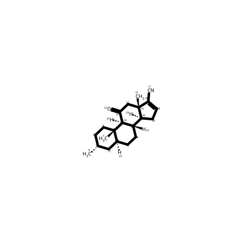 C[C@@H]1CC[C@@]2(C)[C@@H](CC[C@@H]3[C@@H]2C(=O)C[C@]2(C)C(C#N)=CC[C@@H]32)C1